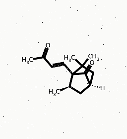 CC(=O)/C=C/C12C(=O)[C@H](C[C@H]1C)CC2(C)C